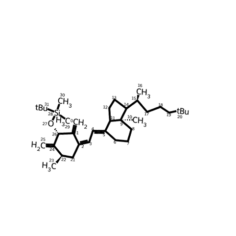 C=C1/C(=C\C=C2/CCC[C@@]3(C)C2CCC3[C@@H](C)CCCC(C)(C)C)C[C@@H](C)C(=C)[C@@H]1O[Si](C)(C)C(C)(C)C